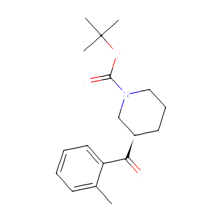 Cc1ccccc1C(=O)[C@@H]1CCCN(C(=O)OC(C)(C)C)C1